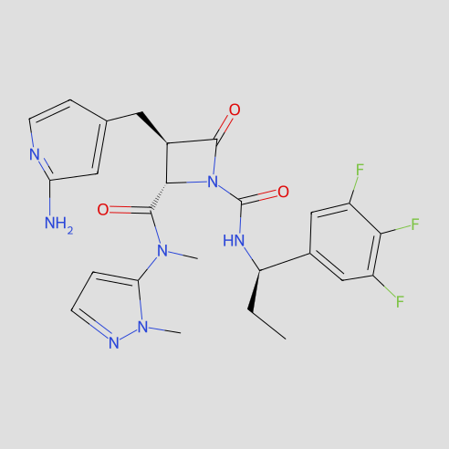 CC[C@@H](NC(=O)N1C(=O)[C@H](Cc2ccnc(N)c2)[C@H]1C(=O)N(C)c1ccnn1C)c1cc(F)c(F)c(F)c1